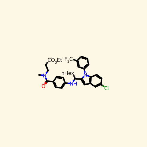 CCCCCCC(Nc1ccc(C(=O)N(C)CCC(=O)OCC)cc1)c1cc2cc(Cl)ccc2n1-c1cccc(C(F)(F)F)c1